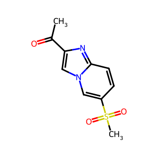 CC(=O)c1cn2cc(S(C)(=O)=O)ccc2n1